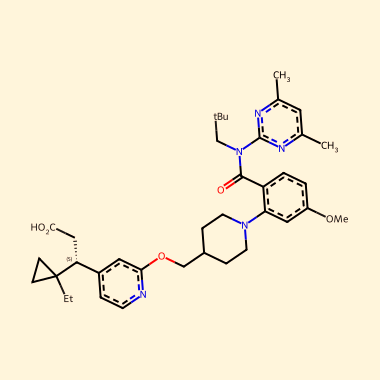 CCC1([C@H](CC(=O)O)c2ccnc(OCC3CCN(c4cc(OC)ccc4C(=O)N(CC(C)(C)C)c4nc(C)cc(C)n4)CC3)c2)CC1